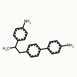 CC(Cc1ccc(-c2ccc(N)cc2)cc1)c1ccc(N)cc1